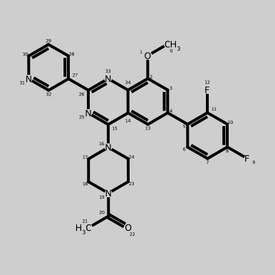 COc1cc(-c2ccc(F)cc2F)cc2c(N3CCN(C(C)=O)CC3)nc(-c3cccnc3)nc12